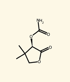 CC1(C)COC(=O)[C@@H]1OC(N)=O